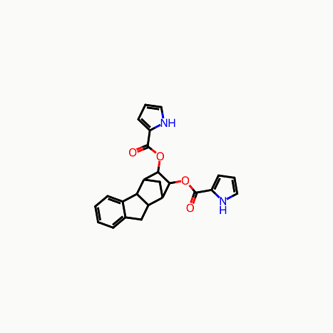 O=C(OC1C2CC(C1OC(=O)c1ccc[nH]1)C1c3ccccc3CC21)c1ccc[nH]1